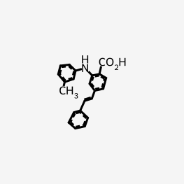 Cc1cccc(Nc2cc(C=Cc3ccccc3)ccc2C(=O)O)c1